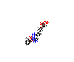 C[C@@H](OC(=O)Nc1c(-c2ccc(-c3ccc(OC4(C(=O)O)CC4)cc3)cc2)cnn1C)c1ccccc1